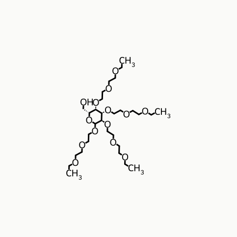 CCOCCOCCOC1O[C@H](CO)[C@H](OCCOCCOCC)[C@H](OCCOCCOCC)[C@H]1OCCOCCOCC